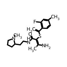 C=C(S/C(C(=O)NCCC1CCCN1C)=C(/C)N)c1ccc(C)cc1F